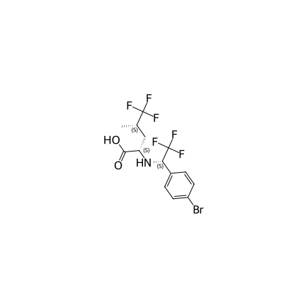 C[C@@H](C[C@H](N[C@@H](c1ccc(Br)cc1)C(F)(F)F)C(=O)O)C(F)(F)F